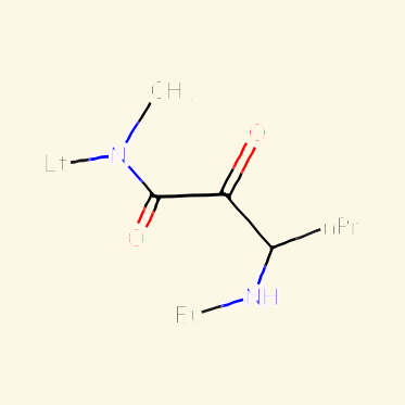 CCCC(NCC)C(=O)C(=O)N(C)CC